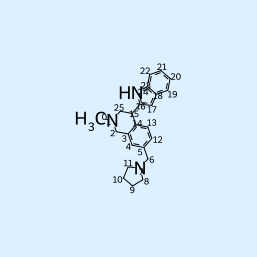 CN1Cc2cc(CN3CCCC3)ccc2C(c2cc3ccccc3[nH]2)C1